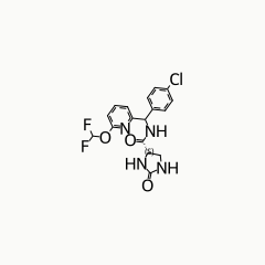 O=C1NC[C@@H](C(=O)NC(c2ccc(Cl)cc2)c2cccc(OC(F)F)n2)N1